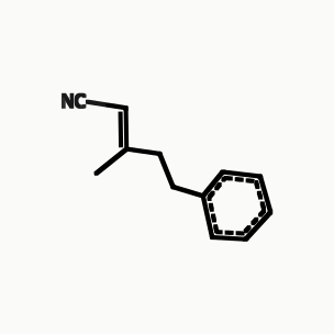 C/C(=C\C#N)CCc1ccccc1